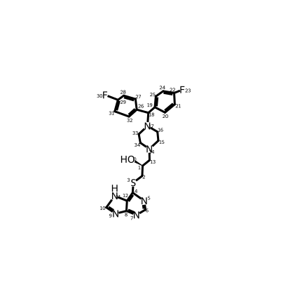 O[C@H](CSc1ncnc2nc[nH]c12)CN1CCN(C(c2ccc(F)cc2)c2ccc(F)cc2)CC1